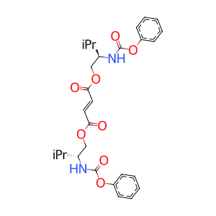 CC(C)[C@H](COC(=O)/C=C/C(=O)OC[C@H](NC(=O)Oc1ccccc1)C(C)C)NC(=O)Oc1ccccc1